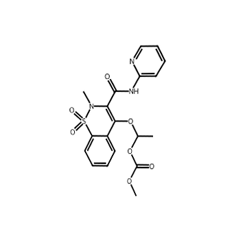 COC(=O)OC(C)OC1=C(C(=O)Nc2ccccn2)N(C)S(=O)(=O)c2ccccc21